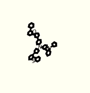 c1ccc(-c2cccc3c2oc2ccc(-c4ccc(N(c5ccc(-c6cccc7sc8ccccc8c67)cc5)c5ccc6c(c5)c5ccccc5n6-c5ccccc5)cc4)cc23)cc1